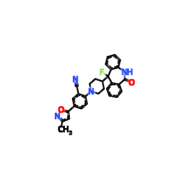 Cc1cc(-c2ccc(N3CCC(C4(F)c5ccccc5NC(=O)c5ccccc54)CC3)c(C#N)c2)on1